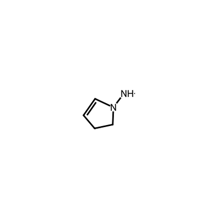 [NH]N1C=CCC1